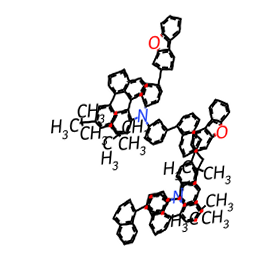 CC(C)(C)c1cc(-c2cccc3cccc(-c4ccccc4N(c4ccc(-c5ccc6c(c5)oc5ccccc56)cc4)c4cccc(-c5cccc6cc(CC(C)(C)c7cc(-c8cccc9cccc(-c%10ccccc%10N(c%10ccc(-c%11ccc%12c(c%11)oc%11ccccc%11%12)cc%10)c%10ccc(-c%11cccc%12ccccc%11%12)cc%10)c89)cc(C(C)(C)C)c7)ccc56)c4)c23)cc(C(C)(C)C)c1